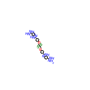 N=C(N)c1ccc2nc(-c3ccc(OCC(F)(F)C(F)(F)COc4ccc(-c5nc6ccc(C(=N)N)cc6[nH]5)cc4)cc3)[nH]c2c1